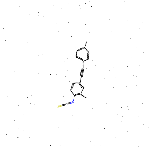 Cc1ccc(C#Cc2ccc(N=C=S)c(C)c2)cc1